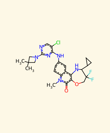 Cn1c(=O)c2c(c3cc(Nc4nc(N5CC(C)(C)C5)ncc4Cl)ccc31)NC(C1CC1)C(F)(F)CO2